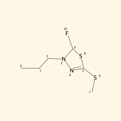 CCCN1N=C(SC)SC1F